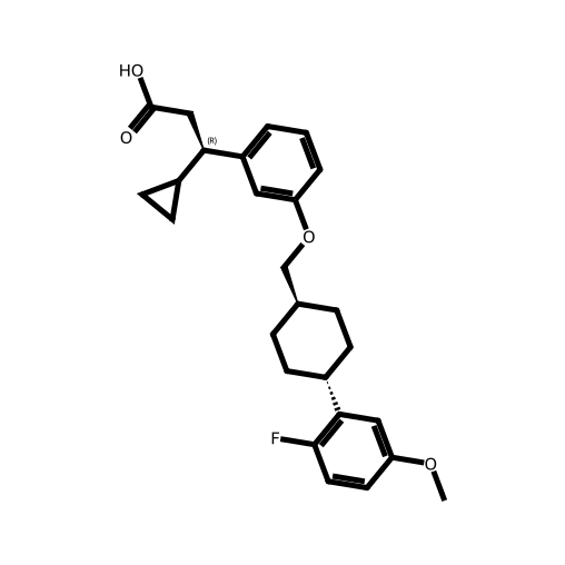 COc1ccc(F)c([C@H]2CC[C@H](COc3cccc([C@H](CC(=O)O)C4CC4)c3)CC2)c1